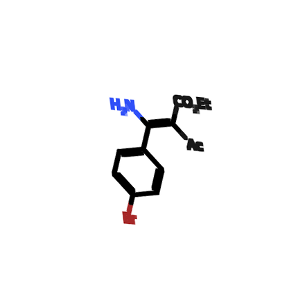 CCOC(=O)/C(C(C)=O)=C(\N)c1ccc(Br)cc1